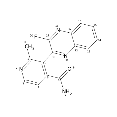 Cc1nccc(C(N)=O)c1-c1nc2ccccc2nc1F